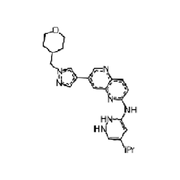 CC(C)C1=CNNC(Nc2ccc3ncc(-c4cnn(CC5CCOCC5)c4)cc3n2)=C1